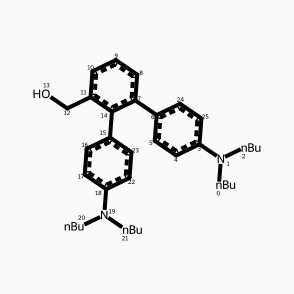 CCCCN(CCCC)c1ccc(-c2cccc(CO)c2-c2ccc(N(CCCC)CCCC)cc2)cc1